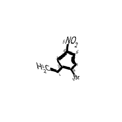 C=Cc1cc([N+](=O)[O-])ccc1Br